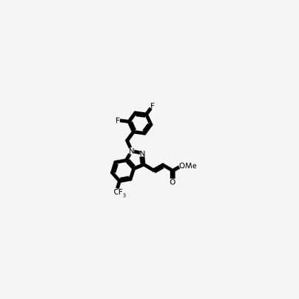 COC(=O)/C=C/c1nn(Cc2ccc(F)cc2F)c2ccc(C(F)(F)F)cc12